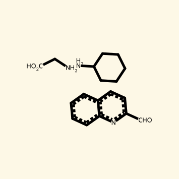 NC1CCCCC1.NCC(=O)O.O=Cc1ccc2ccccc2n1